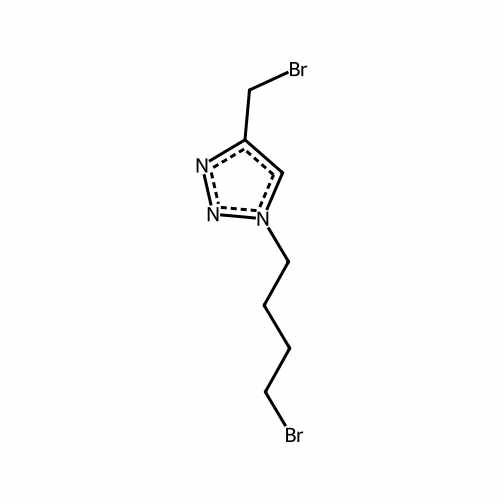 BrCCCCn1cc(CBr)nn1